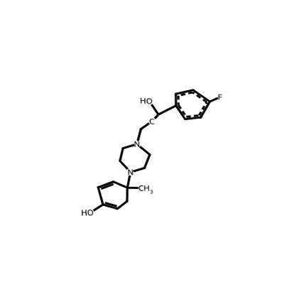 CC1(N2CCN(CCC(O)c3ccc(F)cc3)CC2)C=CC(O)=CC1